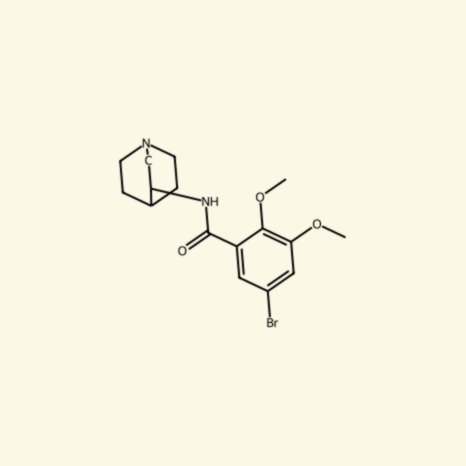 COc1cc(Br)cc(C(=O)NC2CN3CCC2CC3)c1OC